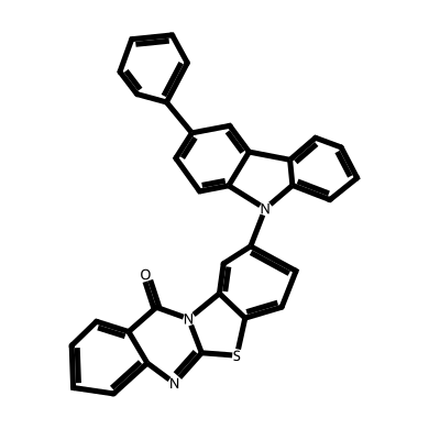 O=c1c2ccccc2nc2sc3ccc(-n4c5ccccc5c5cc(-c6ccccc6)ccc54)cc3n12